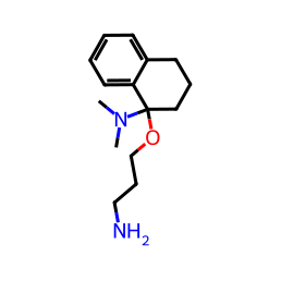 CN(C)C1(OCCCN)CCCc2ccccc21